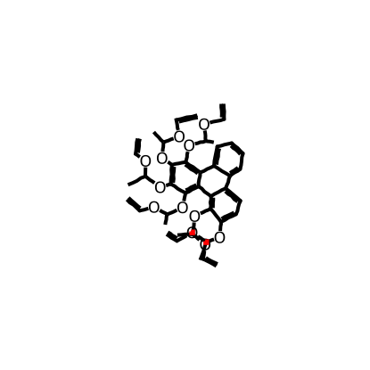 C=COC(C)Oc1ccc2c3ccccc3c3c(OC(C)OC=C)c(OC(C)OC=C)c(OC(C)OC=C)c(OC(C)OC=C)c3c2c1OC(C)OC=C